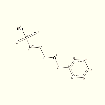 CC(C)(C)S(=O)(=O)N=CCOCc1ccccc1